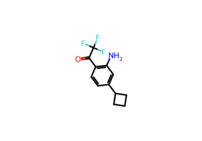 Nc1cc(C2CCC2)ccc1C(=O)C(F)(F)F